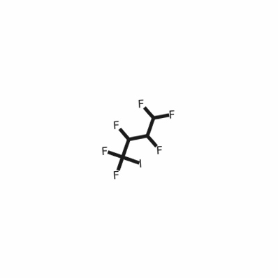 FC(F)C(F)C(F)C(F)(F)I